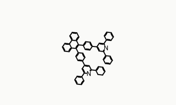 C1=CCCC(c2cc(-c3ccc(-c4c(-c5ccc(-c6cc(-c7ccccc7)nc(-c7ccccc7)c6)cc5)c5ccccc5c5ccccc45)cc3)cc(-c3ccccc3)n2)=C1